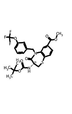 COC(=O)c1ccc2c(c1)N(Cc1cccc(OC(F)(F)F)c1)C(=O)[C@@H](NC(=O)OC(C)(C)C)CS2